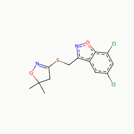 CC1(C)CC(SCc2noc3c(Cl)cc(Cl)cc23)=NO1